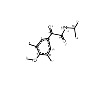 COc1c(C)cc(C(=O)C(=O)NC(C)C)cc1C